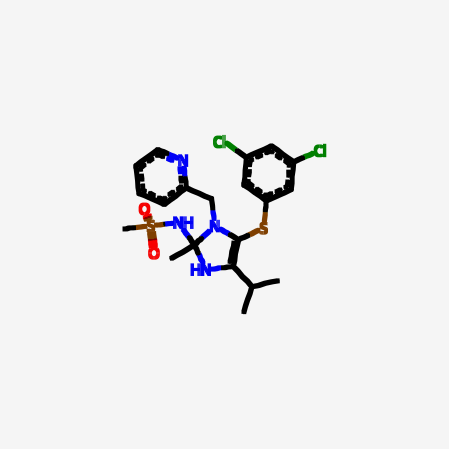 CC(C)C1=C(Sc2cc(Cl)cc(Cl)c2)N(Cc2ccccn2)C(C)(NS(C)(=O)=O)N1